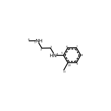 CNCCNc1ccccc1C